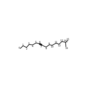 CCCCCCC#CCCCCCC[C](C)C